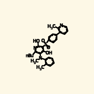 CCCCc1nc(O)c(S(=O)(=O)c2ccc(-c3cccnc3C)cc2)c(O)c1N(C)c1ccccc1C